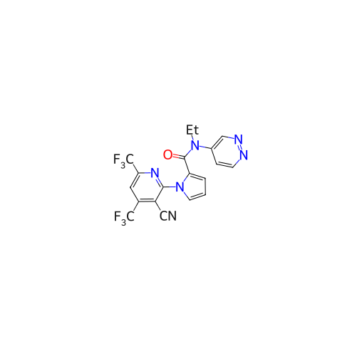 CCN(C(=O)c1cccn1-c1nc(C(F)(F)F)cc(C(F)(F)F)c1C#N)c1ccnnc1